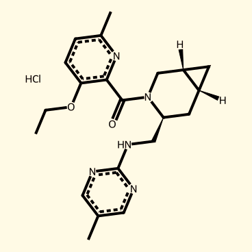 CCOc1ccc(C)nc1C(=O)N1C[C@@H]2C[C@@H]2C[C@H]1CNc1ncc(C)cn1.Cl